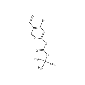 CC(C)(C)OC(=O)Oc1ccc(C=O)c(Br)c1